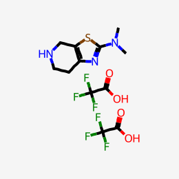 CN(C)c1nc2c(s1)CNCC2.O=C(O)C(F)(F)F.O=C(O)C(F)(F)F